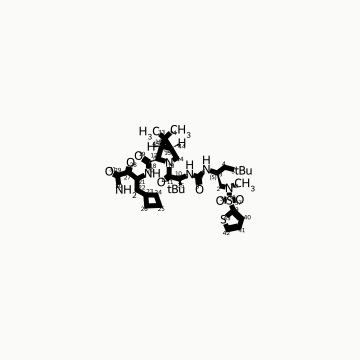 CN(C[C@H](CC(C)(C)C)NC(=O)N[C@H](C(=O)N1C[C@H]2[C@@H]([C@H]1C(=O)NC(CC1CCC1)C(=O)C(N)=O)C2(C)C)C(C)(C)C)S(=O)(=O)c1cccs1